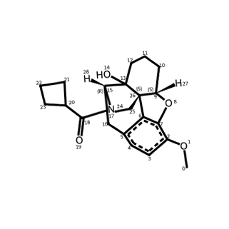 COc1ccc2c3c1O[C@H]1CCCC4(O)[C@@H](C2)N(C(=O)C2CCC2)CC[C@]314